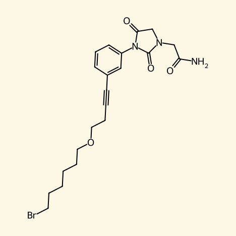 NC(=O)CN1CC(=O)N(c2cccc(C#CCCOCCCCCCBr)c2)C1=O